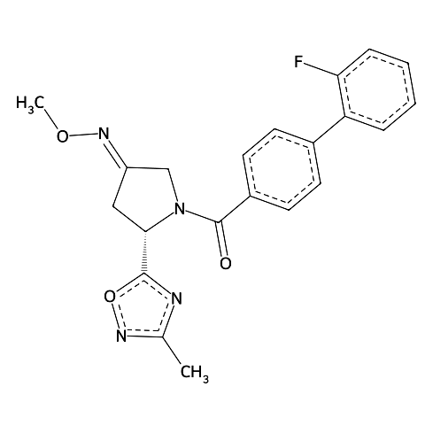 CO/N=C1\C[C@@H](c2nc(C)no2)N(C(=O)c2ccc(-c3ccccc3F)cc2)C1